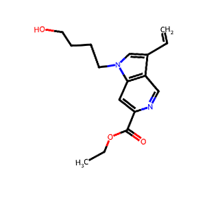 C=Cc1cn(CCCCO)c2cc(C(=O)OCC)ncc12